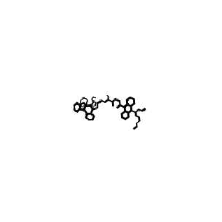 C=CC/C=C\C=C(/CC=C)c1c2ccccc2c(C(=C)/C=C\C(=C)/C(C)=C/C=C2\Cc3c(c4oc5ccccc5c4c4ccccc34)S2)c2ccccc12